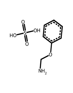 NCOc1ccccc1.O=S(=O)(O)O